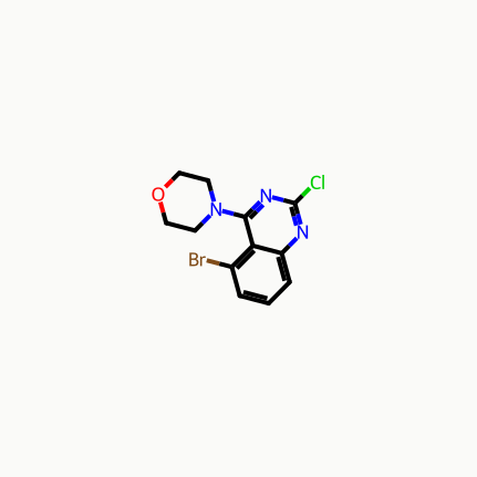 Clc1nc(N2CCOCC2)c2c(Br)cccc2n1